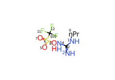 CCCNC(=N)N.O=S(=O)(O)C(F)(F)F